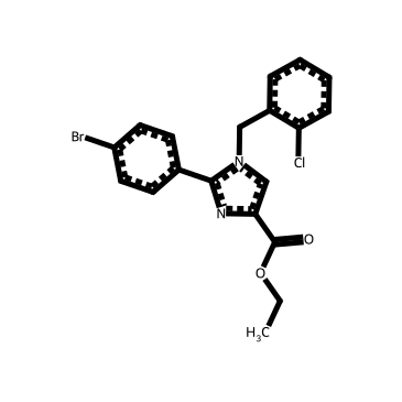 CCOC(=O)c1cn(Cc2ccccc2Cl)c(-c2ccc(Br)cc2)n1